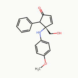 COc1ccc(N[C@@]2(CO)C=CC(=O)C2c2ccccc2)cc1